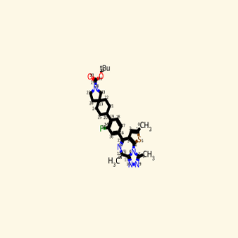 Cc1cc2c(s1)-n1c(C)nnc1[C@H](C)N=C2c1ccc(C2CCC3(CC2)CCN(C(=O)OC(C)(C)C)C3)c(F)c1